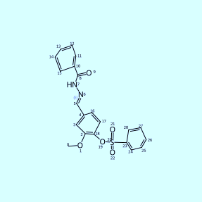 COc1cc(/C=N/NC(=O)c2ccccc2)ccc1OS(=O)(=O)c1ccccc1